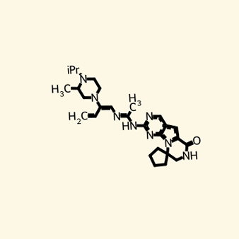 C=C/C(=C\N=C(/C)Nc1ncc2cc3n(c2n1)C1(CCCC1)CNC3=O)N1CCN(C(C)C)C(C)C1